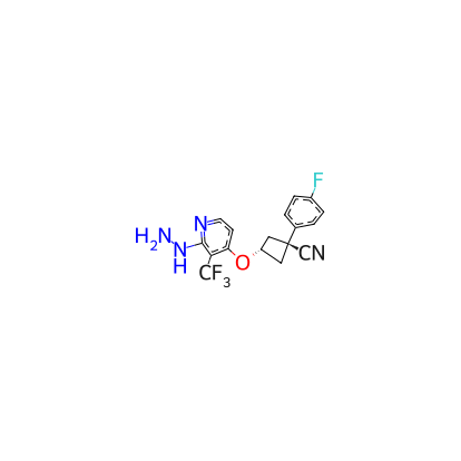 N#C[C@]1(c2ccc(F)cc2)C[C@@H](Oc2ccnc(NN)c2C(F)(F)F)C1